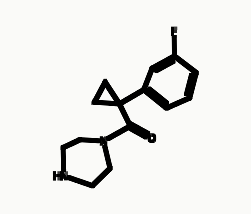 O=C(N1CCNCC1)C1(c2cccc(F)c2)CC1